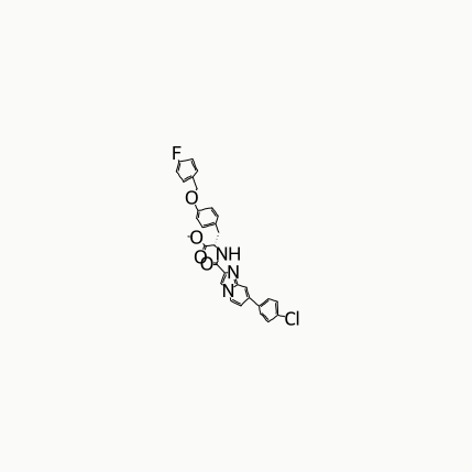 COC(=O)[C@H](Cc1ccc(OCc2ccc(F)cc2)cc1)NC(=O)c1cn2ccc(-c3ccc(Cl)cc3)cc2n1